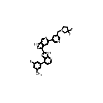 Cc1cc(F)cc(-c2ccnc3[nH]c(-c4n[nH]c5cnc(-c6cncc(CN7CCC(F)(F)C7)c6)cc45)nc23)c1